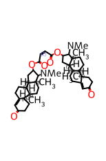 CNC1C(OC(=O)/C=C\C(=O)OC2C[C@H]3[C@@H]4CCC5=CC(=O)CC[C@]5(C)[C@@H]4CC[C@]3(C)C2NC)C[C@H]2[C@@H]3CCC4=CC(=O)CC[C@]4(C)[C@@H]3CC[C@]12C